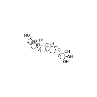 C[C@@H]1C[C@H]2OC3(O[C@@H]2C(C)(C)O)[C@H](O)[C@@]2(C)[C@@H]4CC[C@H]5C(C)(C)[C@@H](O[C@@H]6OC[C@@H](O)[C@H](O)[C@H]6O)CC[C@@]56C[C@@]46CC[C@]2(C)[C@@H]13